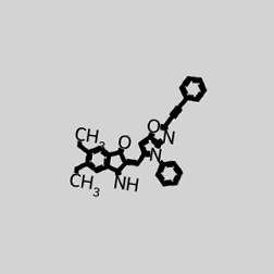 CCc1cc2c(cc1CC)C(=O)/C(=C\c1cc3oc(C#Cc4ccccc4)nc3n1-c1ccccc1)C2=N